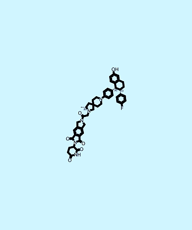 C[C@@H]1CC2(CCN(c3ccc([C@@H]4c5ccc(O)cc5CC[C@@H]4c4ccc(F)cc4)cc3)CC2)CN1CC(=O)N1Cc2cc3c(cc2C1)C(=O)N(C1CCC(=O)NC1=O)C3=O